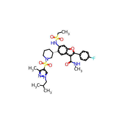 CCS(=O)(=O)Nc1cc2oc(-c3ccc(F)cc3)c(C(=O)NC)c2cc1[C@H]1CCCN(S(=O)(=O)c2cn(CC(C)C)nc2C)C1